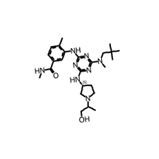 CNC(=O)c1ccc(C)c(Nc2nc(N[C@H]3CCN(C(C)CO)C3)nc(N(C)CC(C)(C)C)n2)c1